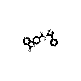 O=C1OC2(CCC(C(=O)Nc3nocc3-c3ccccc3)CC2)c2cnccc21